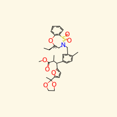 CC[C@@H]1CN(Cc2cc(C(c3ccc(C4(C)OCCO4)o3)C(C)C(=O)OC)ccc2C)S(=O)(=O)c2ccccc2O1